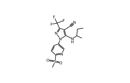 CCC(C)Nc1c(C#N)c(C(F)(F)F)nn1-c1ccc(S(C)(=O)=O)nc1